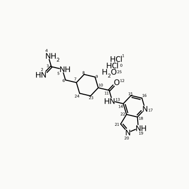 Cl.Cl.N=C(N)NCC1CCC(C(=O)Nc2ccnc3[nH]ncc23)CC1.O